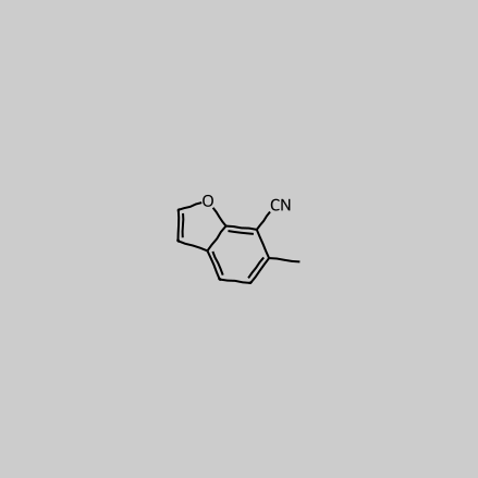 Cc1ccc2ccoc2c1C#N